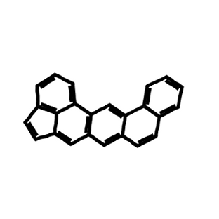 C1=Cc2cc3cc4ccc5ccccc5c4cc3c3cccc1c23